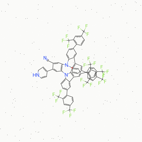 N#Cc1cc(-n2c3ccc(-c4ccc(C(F)(F)F)cc4C(F)(F)F)cc3c3cc(-c4ccc(C(F)(F)F)cc4C(F)(F)F)ccc32)c(-n2c3ccc(-c4ccc(C(F)(F)F)cc4C(F)(F)F)cc3c3cc(-c4ccc(C(F)(F)F)cc4C(F)(F)F)ccc32)cc1C1=CCNC=C1